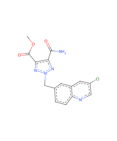 COC(=O)c1nn(Cc2ccc3ncc(Cl)cc3c2)nc1C(N)=O